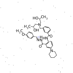 COc1ccc(/C=N/NC(=O)c2cc(N3CCCCC3)ccc2NC(=O)c2cccc(CN(CC(C)O)CC(C)O)c2)cc1